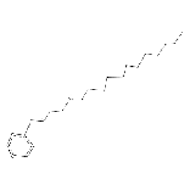 CCCCCCCCCCCCNCCC=Cc1ccccc1